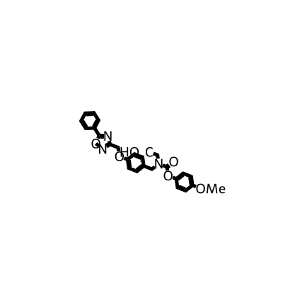 COc1ccc(OC(=O)N(CC(=O)O)Cc2ccc(OCc3noc(-c4ccccc4)n3)cc2)cc1